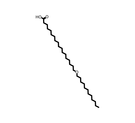 CCCCCCCCCCCCOCCCCCCCCCCCCCCCCCC(=O)O